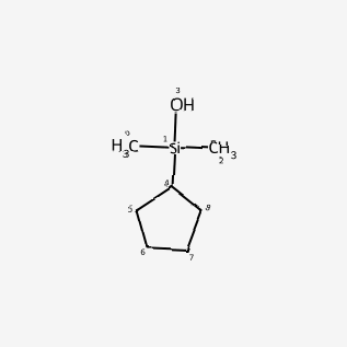 C[Si](C)(O)C1CCCC1